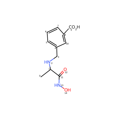 CC(NCc1cccc(C(=O)O)c1)C(=O)NO